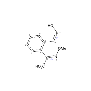 CO/N=C(/C(=O)O)c1ccccc1/C=N\O